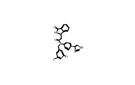 O=C1NC(CC(=O)N(Cc2cc(F)cc(Cl)c2)c2ccc(-c3c[nH]cn3)cc2)c2ccccc21